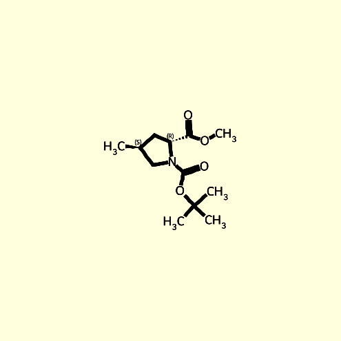 COC(=O)[C@H]1C[C@H](C)CN1C(=O)OC(C)(C)C